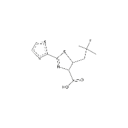 CC(C)(F)CC1SC(c2nccs2)=NC1C(=O)O